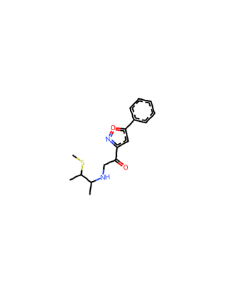 CSC(C)C(C)NCC(=O)c1cc(-c2ccccc2)on1